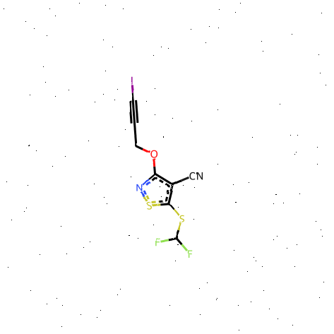 N#Cc1c(OCC#CI)nsc1SC(F)F